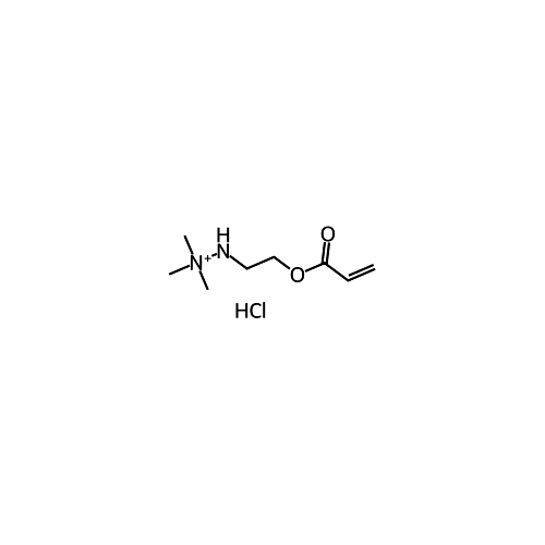 C=CC(=O)OCCN[N+](C)(C)C.Cl